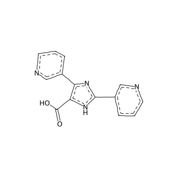 O=C(O)c1[nH]c(-c2cccnc2)nc1-c1cccnc1